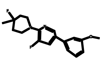 COc1cccc(-c2cnc(N3CCC(C)(F)CC3)c(F)c2)c1